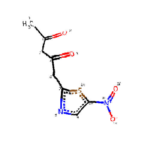 CC(=O)CC(=O)Cc1ncc([N+](=O)[O-])s1